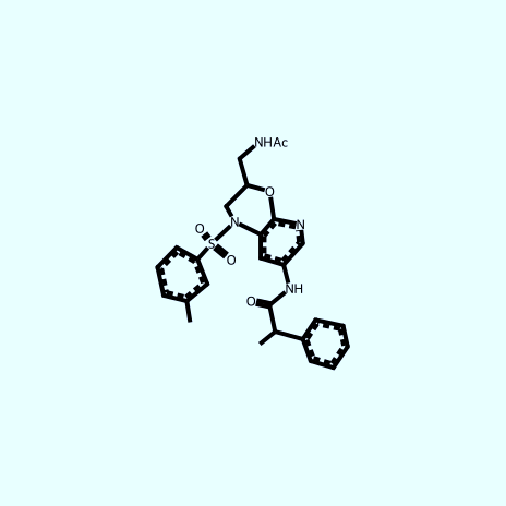 CC(=O)NCC1CN(S(=O)(=O)c2cccc(C)c2)c2cc(NC(=O)C(C)c3ccccc3)cnc2O1